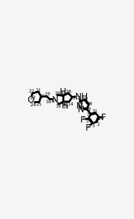 Fc1cc(F)c(F)c(-c2ccc(NC3C[C@@H]4CN(CCC5CCOCC5)C[C@@H]4C3)nn2)c1